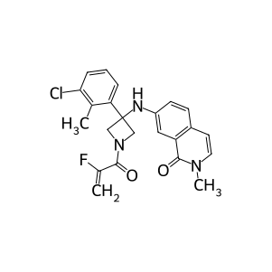 C=C(F)C(=O)N1CC(Nc2ccc3ccn(C)c(=O)c3c2)(c2cccc(Cl)c2C)C1